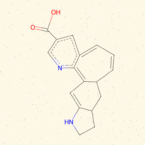 O=C(O)c1cnc2c(c1)=CC=CC1CC3CCNC3=CC=21